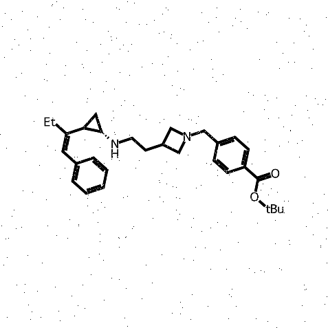 CCC(=Cc1ccccc1)C1C[C@@H]1NCCC1CN(Cc2ccc(C(=O)OC(C)(C)C)cc2)C1